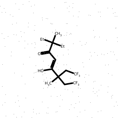 CCC(C)(CC)C(=O)/C=C(\O)C(C)(CC(F)(F)F)CC(F)(F)F